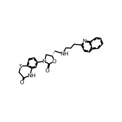 O=C1CSc2ccc(N3C[C@H](CNCCCc4ccc5ccccc5n4)OC3=O)cc2N1